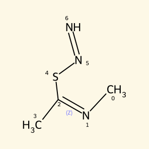 C/N=C(/C)SN=N